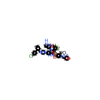 CC1(C)CCC(CN2CCN(c3ccc(C(=O)NS(=O)(=O)c4ccc(NCC5CCOCC5)c([N+](=O)[O-])c4)c(N4C[C@@H]5CC(F)(F)C[C@@H]5Oc5nc6[nH]ccc6cc54)c3)CC2)=C(c2ccc(Cl)cc2)C1